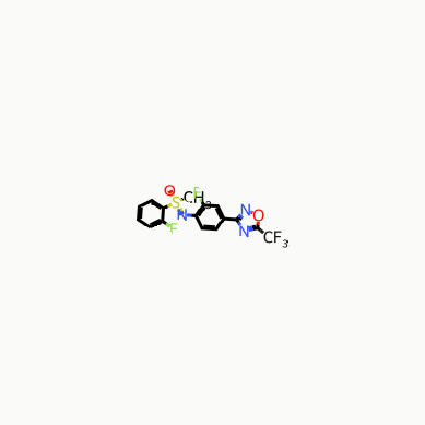 CS(=O)(=Nc1ccc(-c2noc(C(F)(F)F)n2)cc1F)c1ccccc1F